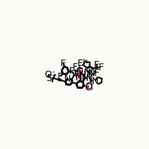 C[C@@H]1Cc2c(C(F)(F)F)nn(CC(=O)NC(Cc3cc(F)cc(F)c3)c3nc(C#CC(C)(C)[S+](C)[O-])ccc3-c3ccc(Cl)c4c(N(C(=O)N5CCCC5)[S+](C)[O-])nn(CC(F)(F)F)c34)c2C1(F)F